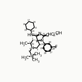 C[C@H]1C[C@]2(CCN1C[Si](C)(C)C)C(NC1CCCCC1)=NC(=O)N2c1cccc(F)c1.Cl.Cl